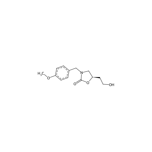 COc1ccc(CN2C[C@@H](CCO)OC2=O)cc1